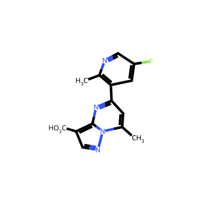 Cc1ncc(F)cc1-c1cc(C)n2ncc(C(=O)O)c2n1